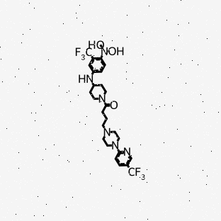 O=C(CCCN1CCN(c2ccc(C(F)(F)F)cn2)CC1)N1CCC(Nc2ccc(N(O)O)c(C(F)(F)F)c2)CC1